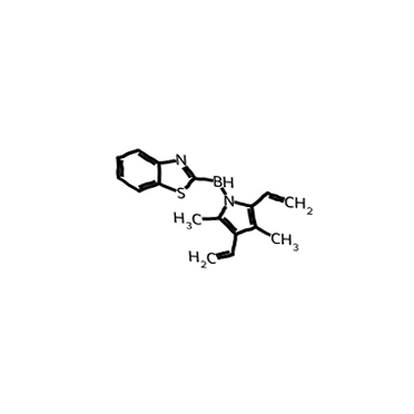 C=Cc1c(C)c(C=C)n(Bc2nc3ccccc3s2)c1C